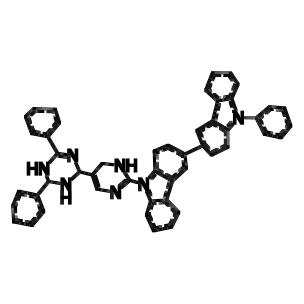 C1=C(C2N=C(c3ccccc3)NC(c3ccccc3)N2)CNC(n2c3ccccc3c3cc(-c4ccc5c(c4)c4ccccc4n5-c4ccccc4)ccc32)=N1